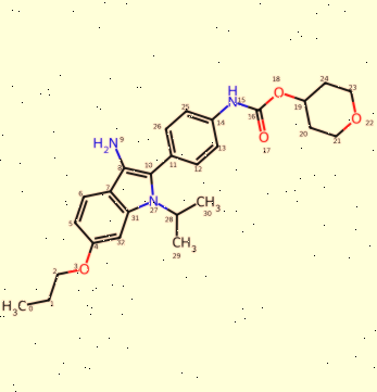 CCCOc1ccc2c(N)c(-c3ccc(NC(=O)OC4CCOCC4)cc3)n(C(C)C)c2c1